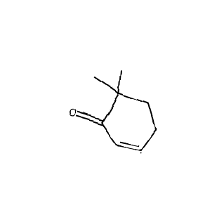 CC1(C)CC[C]=CC1=O